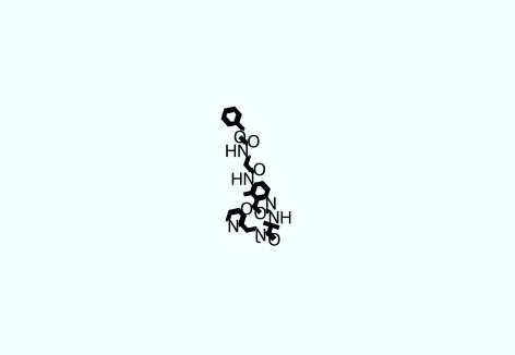 Cc1c(NC(=O)CCNC(=O)OCc2ccccc2)ccc2nc(NC(C)(C)C(=O)N(C)CCc3ccccn3)oc(=O)c12